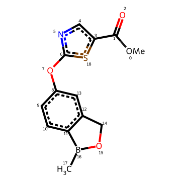 COC(=O)c1cnc(Oc2ccc3c(c2)COB3C)s1